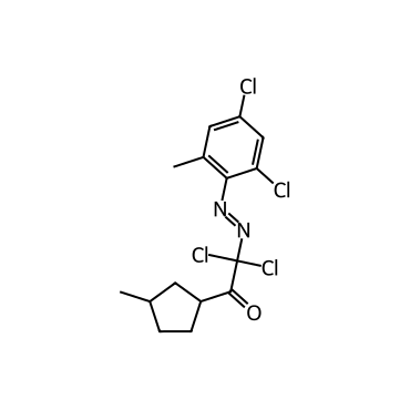 Cc1cc(Cl)cc(Cl)c1N=NC(Cl)(Cl)C(=O)C1CCC(C)C1